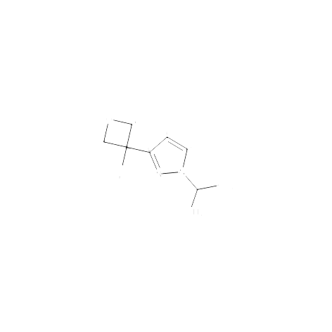 CC(C)n1ccc(C2(O)COC2)n1